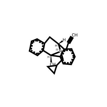 C#CC[N@@+]1(CC2CC2)[C@@H]2Cc3ccccc3[C@@]1(C)c1ccccc12